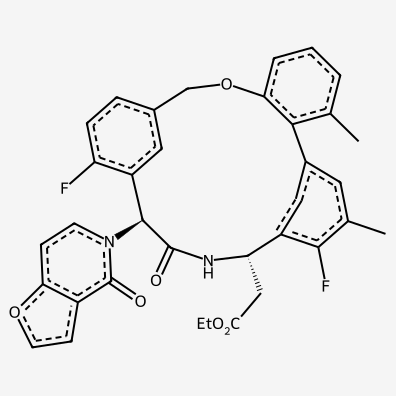 CCOC(=O)C[C@@H]1NC(=O)[C@@H](n2ccc3occc3c2=O)c2cc(ccc2F)COc2cccc(C)c2-c2cc(C)c(F)c1c2